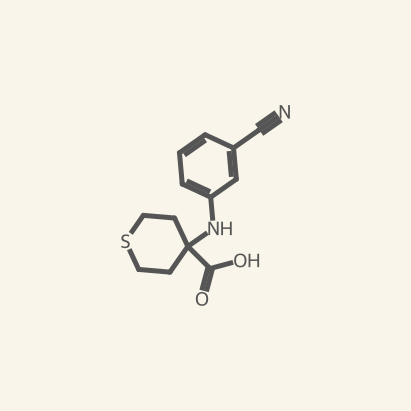 N#Cc1cccc(NC2(C(=O)O)CCSCC2)c1